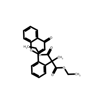 CCOC(=O)C(C)(C(=O)OCC)c1ccccc1-c1cc(=O)c2ccccc2o1